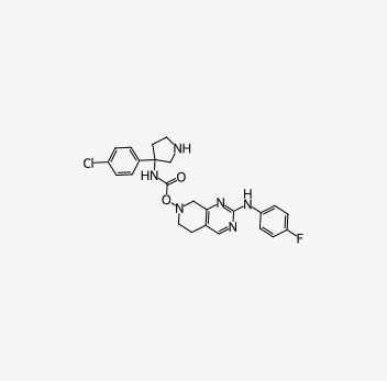 O=C(NC1(c2ccc(Cl)cc2)CCNC1)ON1CCc2cnc(Nc3ccc(F)cc3)nc2C1